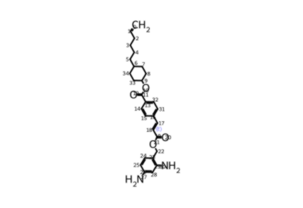 C=CCCCCC1CCC(OC(=O)c2ccc(/C=C/C(=O)OCc3ccc(N)cc3N)cc2)CC1